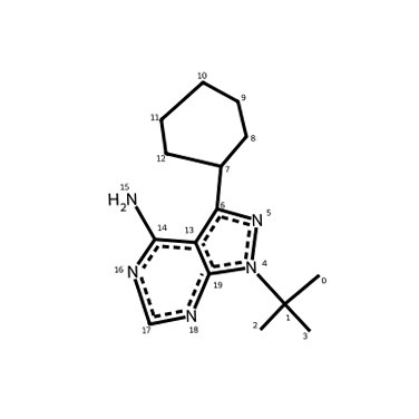 CC(C)(C)n1nc(C2CCCCC2)c2c(N)ncnc21